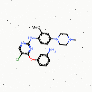 COc1cc(N2CCN(C)CC2)ccc1Nc1ncc(Cl)c(Oc2cccc(N)c2)n1